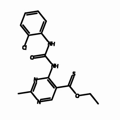 CCOC(=S)c1cnc(C)nc1NC(=O)Nc1ccccc1Cl